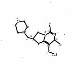 CCSC1=C2C[C@@H](CN3CCOCC3)CN2C(C)=NC1C